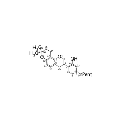 CCCCCc1ccc(C2COc3c(ccc4c3CCC(C)(C)O4)C2)c(O)c1